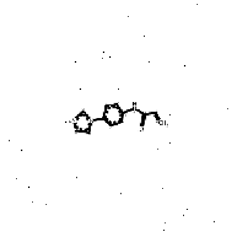 C=CC(=O)Nc1ccc(-n2ccnc2)cc1